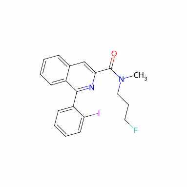 CN(CCCF)C(=O)c1cc2ccccc2c(-c2ccccc2I)n1